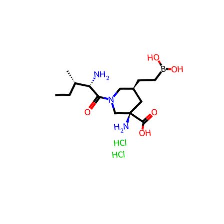 CC[C@H](C)[C@H](N)C(=O)N1C[C@@H](CCB(O)O)C[C@](N)(C(=O)O)C1.Cl.Cl